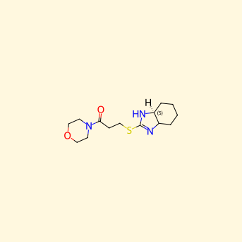 O=C(CCSC1=NC2CCCC[C@@H]2N1)N1CCOCC1